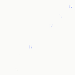 [N-]=[N+]=NCc1csc(Cl)n1